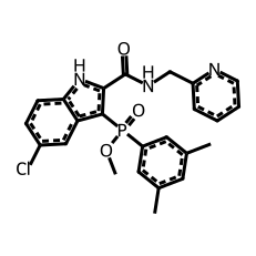 COP(=O)(c1cc(C)cc(C)c1)c1c(C(=O)NCc2ccccn2)[nH]c2ccc(Cl)cc12